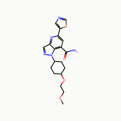 COCCOC1CCC(n2ncc3nc(-c4cncs4)cc(C(N)=O)c32)CC1